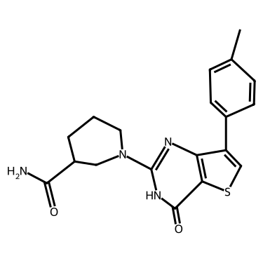 Cc1ccc(-c2csc3c(=O)[nH]c(N4CCCC(C(N)=O)C4)nc23)cc1